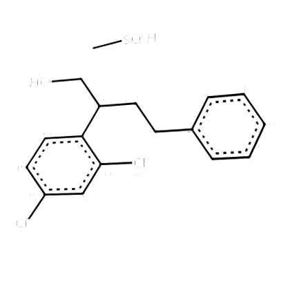 CS(=O)(=O)O.OCC(CCc1ccccc1)c1ccc(Cl)cc1Cl